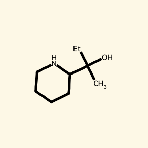 CCC(C)(O)C1CCCCN1